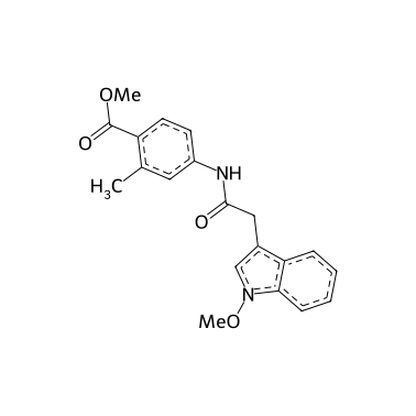 COC(=O)c1ccc(NC(=O)Cc2cn(OC)c3ccccc23)cc1C